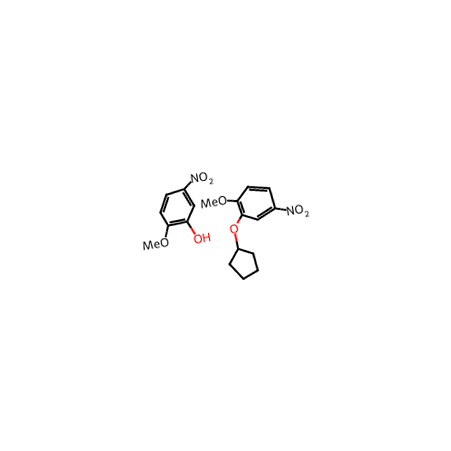 COc1ccc([N+](=O)[O-])cc1O.COc1ccc([N+](=O)[O-])cc1OC1CCCC1